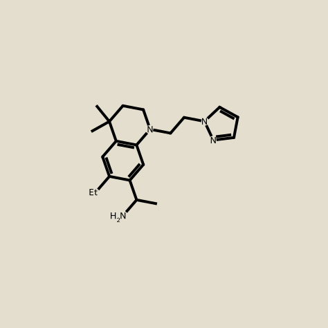 CCc1cc2c(cc1C(C)N)N(CCn1cccn1)CCC2(C)C